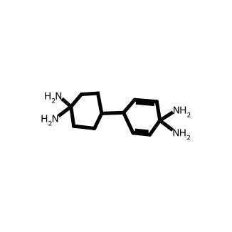 NC1(N)C=CC(C2CCC(N)(N)CC2)C=C1